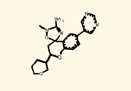 CN1OC2(CC(C3CCCOC3)Oc3ccc(-c4cncnc4)cc32)N=C1N